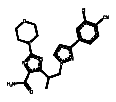 CC(Cn1ccc(-c2ccc(C#N)c(Cl)c2)n1)c1sc(N2CCOCC2)nc1C(N)=O